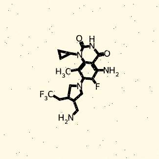 CC1=c2c(c(=O)[nH]c(=O)n2C2CC2)=C(N)C(F)C1N1CC(CN)C(CC(F)(F)F)C1